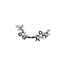 C=C/C(C)=C(C#CC#Cc1cnc([C@@H]2CCCN2C(=O)[C@@H](C)NC(O)OC)[nH]1)\N=C(/N)[C@@H]1CCCN1C(=O)[C@@H](NC(=O)OC)C(C)C